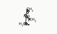 C=C(F)CCC(=O)N(CCCCCc1cc(C2CC2)nn1C)c1cc(-c2ccc3nc(C)sc3c2)ccn1